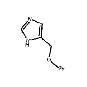 CC(C)OCc1cnc[nH]1